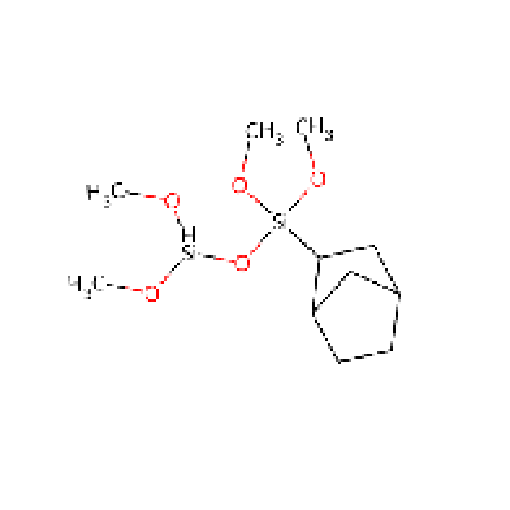 CO[SiH](OC)O[Si](OC)(OC)C1CC2CCC1C2